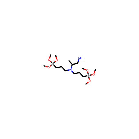 CO[Si](CCCN(CCC[Si](OC)(OC)OC)C(C)CN)(OC)OC